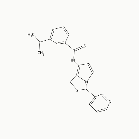 CC(C)c1cccc(C(=S)Nc2ccn3c2CSC3c2cccnc2)c1